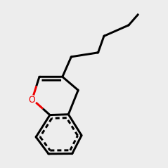 CCCCCC1=COc2ccccc2C1